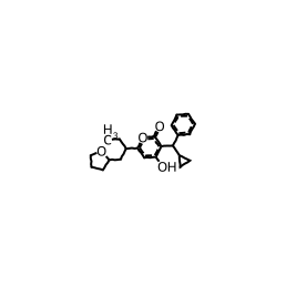 CCC(CC1CCCO1)c1cc(O)c(C(c2ccccc2)C2CC2)c(=O)o1